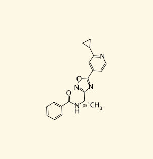 C[C@H](NC(=O)c1ccccc1)c1noc(-c2ccnc(C3CC3)c2)n1